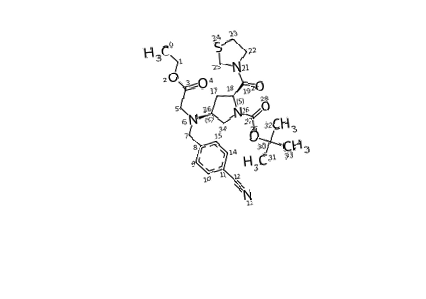 CCOC(=O)CN(Cc1ccc(C#N)cc1)[C@H]1C[C@@H](C(=O)N2CCSC2)N(C(=O)OC(C)(C)C)C1